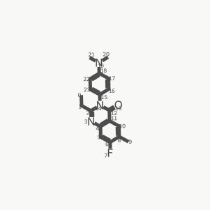 CCc1nc2cc(F)c(C)cc2c(=O)n1-c1ccc(N(C)C)cc1